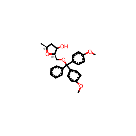 COc1ccc(C(OC[C@H]2O[C@@H](C)CC2O)(c2ccccc2)c2ccc(OC)cc2)cc1